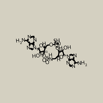 Nc1ncnc2c1ncn2[C@@H]1O[C@@H]2CNS(=O)(=O)O[C@H]3[C@@H](O)[C@H](n4cnc5c(N)ncnc54)O[C@@H]3CO[P@@](=O)(S)O[C@H]2[C@H]1O